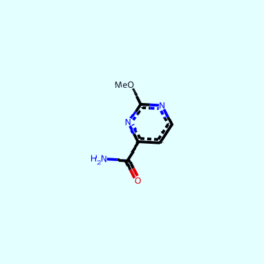 COc1nc[c]c(C(N)=O)n1